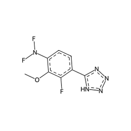 COc1c(N(F)F)ccc(-c2nnn[nH]2)c1F